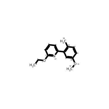 CCOc1cccc(-c2cc(OC)ccc2C)n1